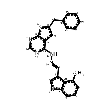 Cc1cccc2[nH]cc(C=NNc3ncnc4sc(Cc5ccccc5)cc34)c12